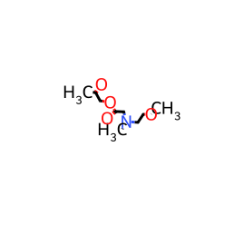 COCCN(C)CC(=O)OCC(C)=O